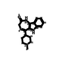 CN1CCC(C2=NCC(=O)Nc3c2[nH]c2ccccc32)CC1